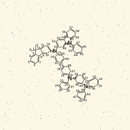 CC1(C)c2ccccc2-c2cc(N(c3ccc(C4=CC=C(N(c5ccccc5)c5ccc6c7ccccc7n(-c7ccccc7)c6c5)CC4)cc3)c3ccc4c5ccccc5n(-c5ccccc5)c4c3)ccc21